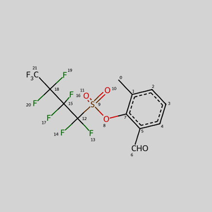 Cc1cccc(C=O)c1OS(=O)(=O)C(F)(F)C(F)(F)C(F)(F)C(F)(F)F